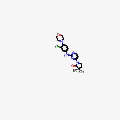 CC[C@]1(C#N)CCN(c2ccnc(Nc3ccc(N4CCOCC4)c(Cl)c3)n2)C1=O